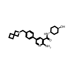 Nc1ncc(-c2ccc(CN3CC4(CCC4)C3)cc2)cc1C(=O)N[C@H]1CC[C@H](O)CC1